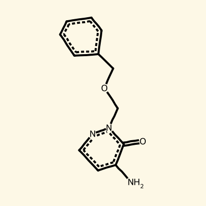 Nc1ccnn(COCc2ccccc2)c1=O